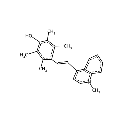 Cc1c(C)c(/C=C/c2cc[n+](C)c3ccccc23)c(C)c(C)c1O